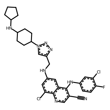 N#Cc1cnc2c(Cl)cc(NCc3cn(C4CCC(NC5CCCC5)CC4)nn3)cc2c1Nc1ccc(F)c(Cl)c1